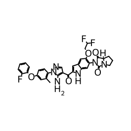 Cc1cc(Oc2ccccc2F)ccc1-n1ncc(C(=O)c2cc3cc(OCC(F)F)c(N4C(=O)[C@@H]5CCCN5C4=O)cc3[nH]2)c1N